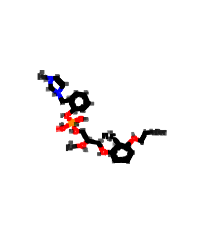 CCCCCCCCCCCCOc1cccc(OCC(COP(=O)(O)Oc2ccccc2CN2[CH]N(CC)C=C2)OCC)c1C